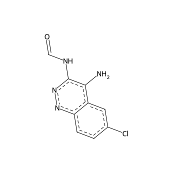 Nc1c(NC=O)nnc2ccc(Cl)cc12